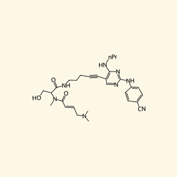 CCCNc1nc(Nc2ccc(C#N)cc2)ncc1C#CCCCNC(=O)C(CO)N(C)C(=O)C=CCN(C)C